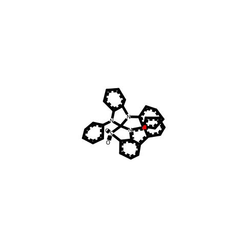 O=S1(=O)c2cccc3c4ccccc4n(c23)C12N(c1ccccc1)c1ccccc1N2c1ccccc1